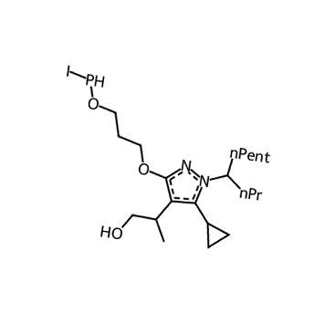 CCCCCC(CCC)n1nc(OCCCOPI)c(C(C)CO)c1C1CC1